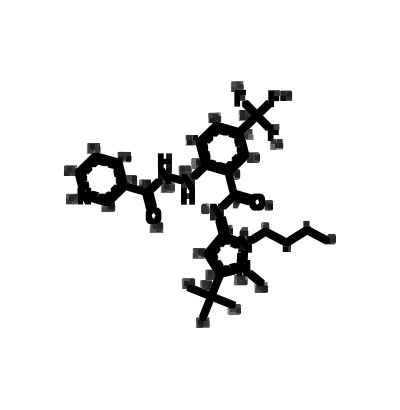 CCCCn1c(=NC(=O)c2cc(C(F)(F)F)ccc2NNC(=O)c2cccnc2)cc(C(C)(C)C)n1C